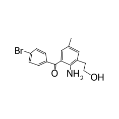 Cc1cc(CCO)c(N)c(C(=O)c2ccc(Br)cc2)c1